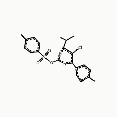 Cc1ccc(S(=O)(=O)Oc2nc(-c3ccc(F)cc3)c(Cl)c(C(C)C)n2)cc1